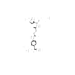 Cc1cc(NC(=O)CCC(=O)NC(CC(=O)O)c2cc[nH]n2)ccc1C(=N)N